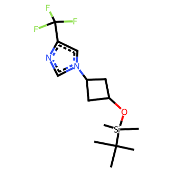 CC(C)(C)[Si](C)(C)OC1CC(n2cnc(C(F)(F)F)c2)C1